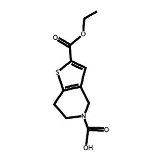 CCOC(=O)c1cc2c(s1)CCN(C(=O)O)C2